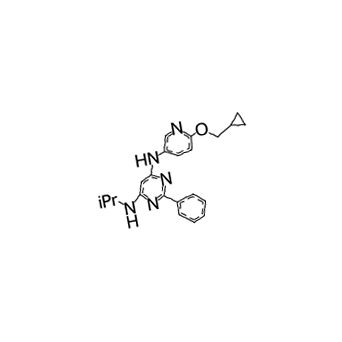 CC(C)Nc1cc(Nc2ccc(OCC3CC3)nc2)nc(-c2ccccc2)n1